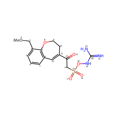 COCc1cccc2c1OCCC(C(=O)CS(=O)(=O)ONC(=N)N)=C2